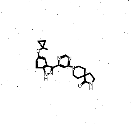 CC1(Oc2ccc3[nH]nc(-c4cc(N5CCC6(CCNC6=O)CC5)ncn4)c3c2)CC1